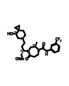 COC[C@H](CCN1CCC2(CC2)[C@H](O)C1)N1C[C@@H](C)N(C(=O)Nc2cccc(C(F)(F)F)c2)CCC1=O